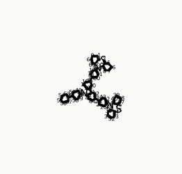 C1=CC2Sc3ccccc3N(c3ccc(-c4ccc5c(c4)c4cc(-c6ccc(N7c8ccccc8Sc8ccccc87)cc6)ccc4n5-c4ccc(-c5ccccc5)cc4)cc3)C2C=C1